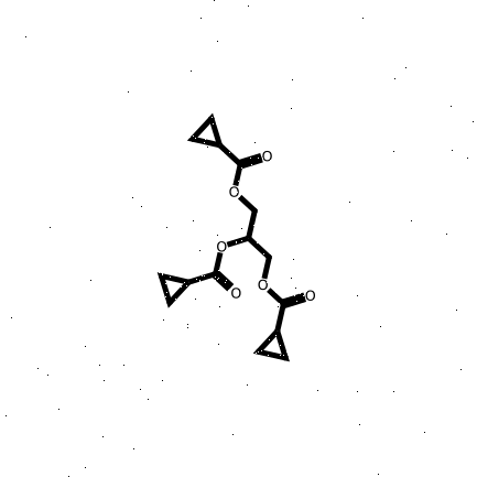 O=C(OCC(COC(=O)C1CC1)OC(=O)C1CC1)C1CC1